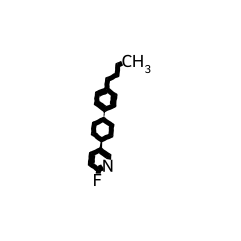 CCCCc1ccc([C@H]2CC[C@H](c3ccc(F)nc3)CC2)cc1